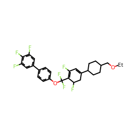 CCOCC1CCC(C2=CC(F)=C(C(F)(F)Oc3ccc(-c4cc(F)c(F)c(F)c4)cc3)C(F)C2)CC1